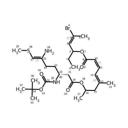 CCC(/C=C(\C)Br)OC(=O)/C=C\C=C(/C)CC(C)OC(=O)C[C@@H](CC/C(N)=C/SC)NC(=O)OC(C)(C)C